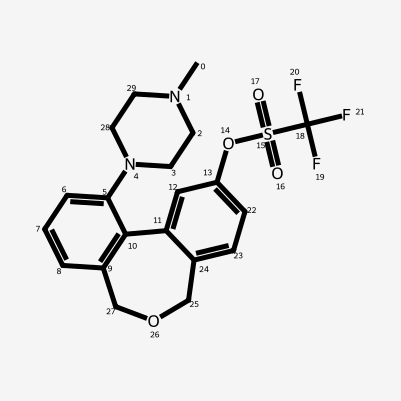 CN1CCN(c2cccc3c2-c2cc(OS(=O)(=O)C(F)(F)F)ccc2COC3)CC1